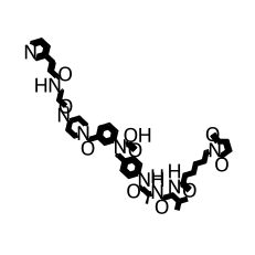 CC(C)[C@H](NC(=O)CCCCCN1C(=O)C=CC1=O)C(=O)N[C@@H](C)C(=O)Nc1ccc(CN(C(=O)O)c2cccc(C(=O)N3CCC(=NOCCNC(=O)/C=C/c4cccnc4)CC3)c2)cc1